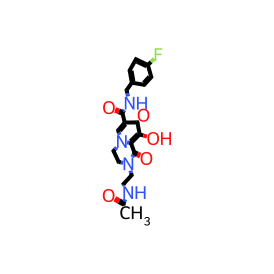 CC(=O)NCCN1CCn2cc(C(=O)NCc3ccc(F)cc3)c(=O)c(O)c2C1=O